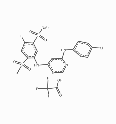 CNS(=O)(=O)c1cc(Nc2cc(Nc3ccc(Cl)cn3)ncn2)c(S(C)(=O)=O)cc1F.O=C(O)C(F)(F)F